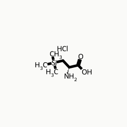 C[Si](C)(C)C[C@@H](N)C(=O)O.Cl